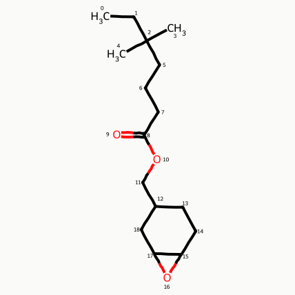 CCC(C)(C)CCCC(=O)OCC1CCC2OC2C1